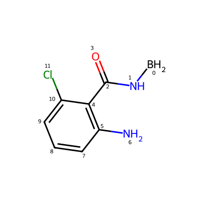 BNC(=O)c1c(N)cccc1Cl